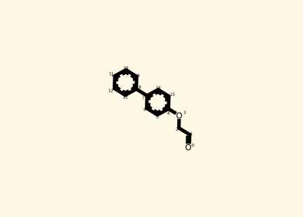 O=CCOc1ccc(-c2cc[c]cc2)cc1